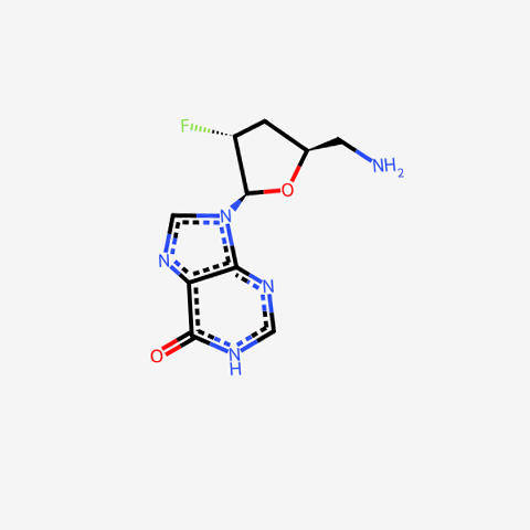 NC[C@@H]1C[C@@H](F)[C@H](n2cnc3c(=O)[nH]cnc32)O1